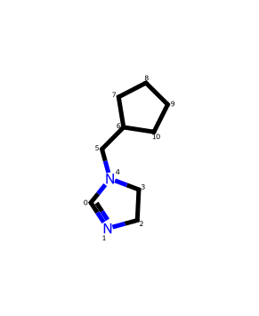 C1=NCCN1CC1CCCC1